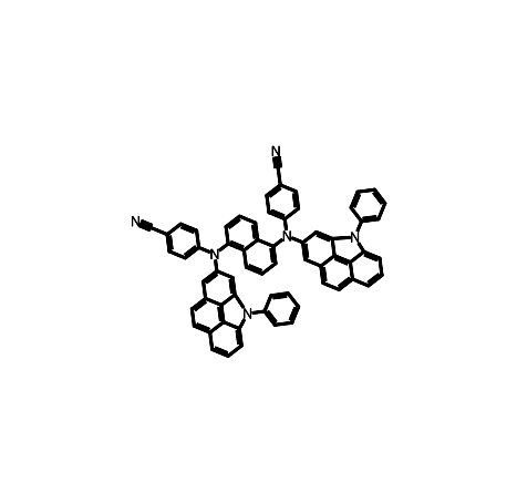 N#Cc1ccc(N(c2cc3ccc4cccc5c4c3c(c2)n5-c2ccccc2)c2cccc3c(N(c4ccc(C#N)cc4)c4cc5ccc6cccc7c6c5c(c4)n7-c4ccccc4)cccc23)cc1